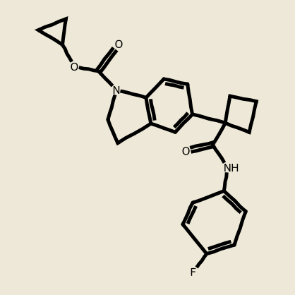 O=C(OC1CC1)N1CCc2cc(C3(C(=O)Nc4ccc(F)cc4)CCC3)ccc21